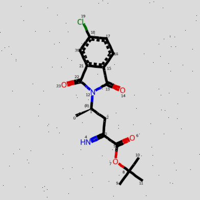 C[C@H](CC(=N)C(=O)OC(C)(C)C)N1C(=O)c2ccc(Cl)cc2C1=O